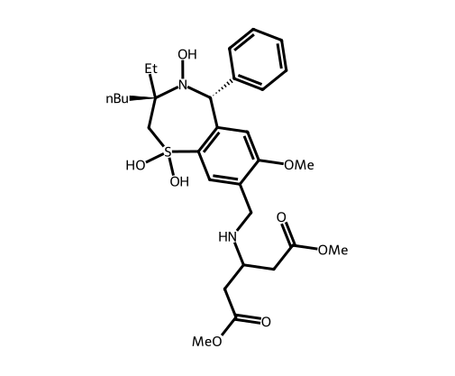 CCCC[C@]1(CC)CS(O)(O)c2cc(CNC(CC(=O)OC)CC(=O)OC)c(OC)cc2[C@@H](c2ccccc2)N1O